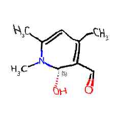 CC1=CC(C)=C(C=O)[C@H](O)N1C